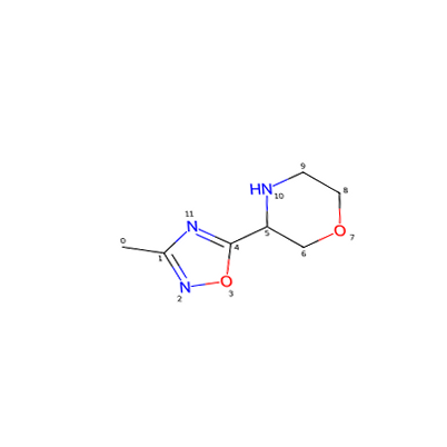 Cc1noc(C2COCCN2)n1